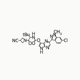 Cn1nc(-c2cnc3[nH]cc(OC(=O)N[C@@H](C(=O)N4CC(C#N)C4)C(C)(C)C)c3n2)c2ccc(Cl)cc21